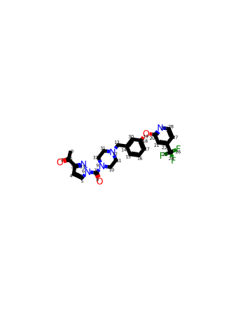 CC(=O)c1ccn(C(=O)N2CCN(Cc3cccc(Oc4cc(C(F)(F)F)ccn4)c3)CC2)n1